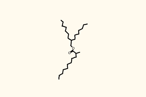 CCCCCCCCCC(C)C(=O)OCC(CCCCCCC)CCCCCCC